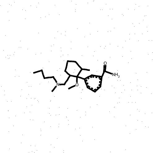 CCCCN(C)CC1CCCC(C)C1(OC)c1cccc(C(N)=O)c1